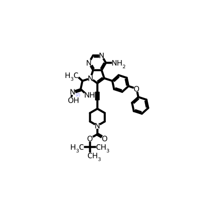 CC(/C(N)=N/O)n1c(C#CC2CCN(C(=O)OC(C)(C)C)CC2)c(-c2ccc(Oc3ccccc3)cc2)c2c(N)ncnc21